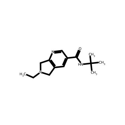 CCN1Cc2cc(C(=O)NC(C)(C)C)cnc2C1